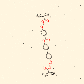 C=C(C)C(=O)OCOc1ccc(C(=O)Oc2ccc(-c3ccc(OCOC(=O)C(=C)C)cc3)cc2)cc1